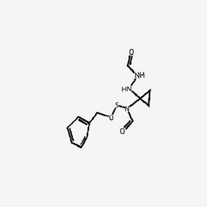 O=CNNC1(N(C=O)SOCc2ccccc2)CC1